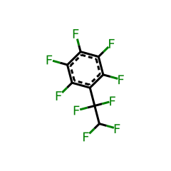 Fc1c(F)c(F)c(C(F)(F)C(F)F)c(F)c1F